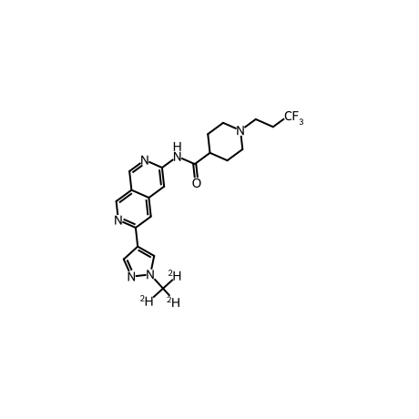 [2H]C([2H])([2H])n1cc(-c2cc3cc(NC(=O)C4CCN(CCC(F)(F)F)CC4)ncc3cn2)cn1